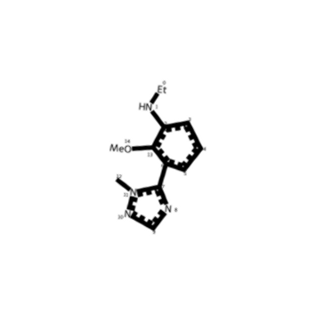 CCNc1cccc(-c2ncnn2C)c1OC